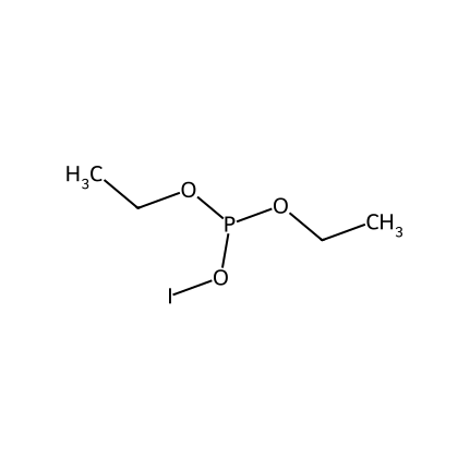 CCOP(OI)OCC